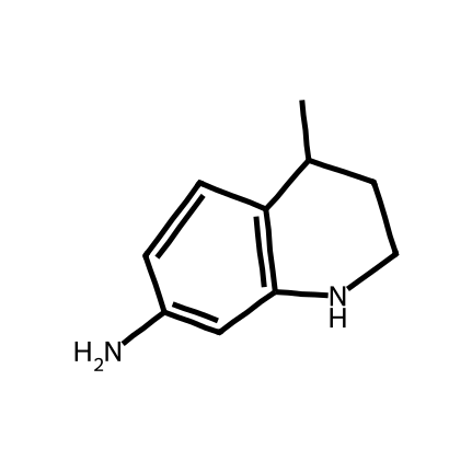 CC1CCNc2cc(N)ccc21